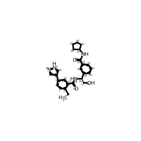 CCc1ccc(-c2cn[nH]c2)cc1C(=O)N[C@H](CO)c1cccc(C(=O)NC2CCCC2)c1